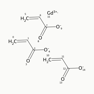 C=CC(=O)[O-].C=CC(=O)[O-].C=CC(=O)[O-].[Gd+3]